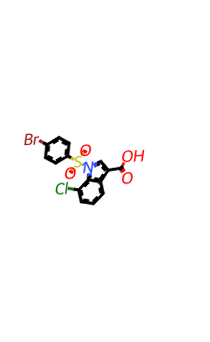 O=C(O)c1cn(S(=O)(=O)c2ccc(Br)cc2)c2c(Cl)cccc12